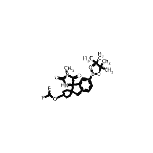 CN1C(=O)NC2(C1=O)c1cc(B3OC(C)(C)C(C)(C)O3)ccc1CC21CCC(OC(F)F)CC1